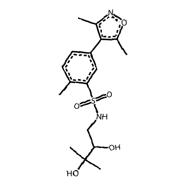 Cc1ccc(-c2c(C)noc2C)cc1S(=O)(=O)NCC(O)C(C)(C)O